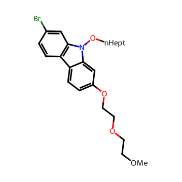 CCCCCCCOn1c2cc(Br)ccc2c2ccc(OCCOCCOC)cc21